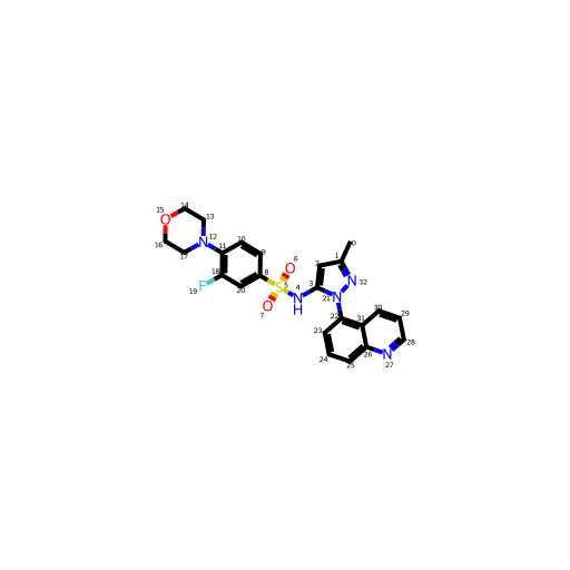 Cc1cc(NS(=O)(=O)c2ccc(N3CCOCC3)c(F)c2)n(-c2cccc3ncccc23)n1